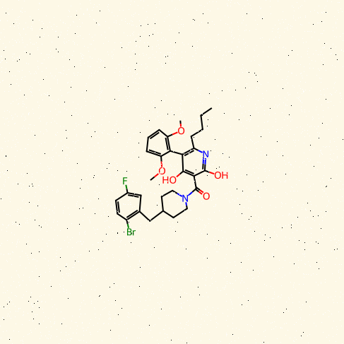 CCCCc1nc(O)c(C(=O)N2CCC(Cc3cc(F)ccc3Br)CC2)c(O)c1-c1c(OC)cccc1OC